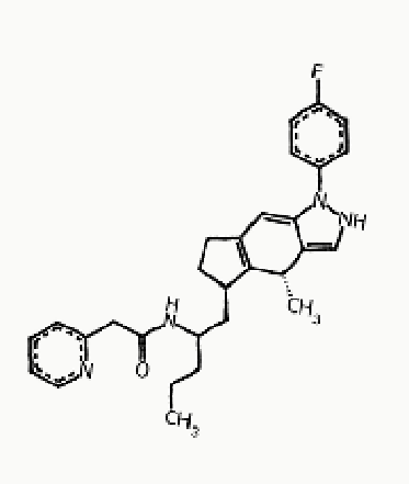 CCCC(C[C@H]1CCC2=C1[C@@H](C)C1=CNN(c3ccc(F)cc3)C1=C2)NC(=O)Cc1ccccn1